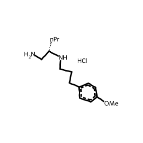 CCC[C@@H](CN)NCCCc1ccc(OC)cc1.Cl